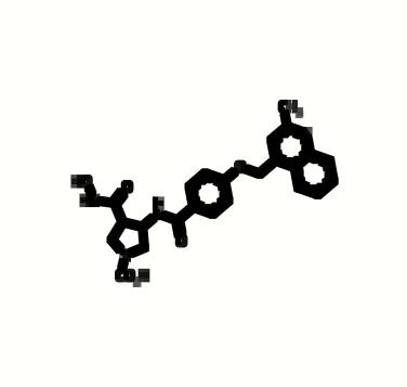 Cc1cc(COc2ccc(C(=O)NC3CN(C(=O)O)CC3C(=O)NO)cc2)c2ccccc2n1